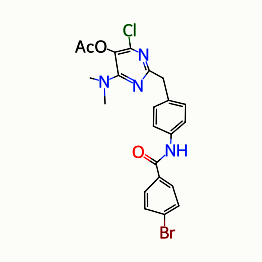 CC(=O)Oc1c(Cl)nc(Cc2ccc(NC(=O)c3ccc(Br)cc3)cc2)nc1N(C)C